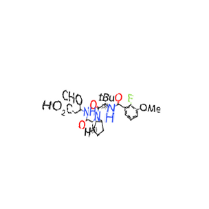 COc1cccc(C(=O)N[C@H](C(=O)N2C3CC[C@@H](C3)C2C(=O)NC(C=O)CC(=O)O)C(C)(C)C)c1F